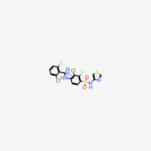 N[C@H](Nc1ccc(S(=O)(=O)Nc2cscn2)c(F)c1Cl)c1c(F)cccc1Cl